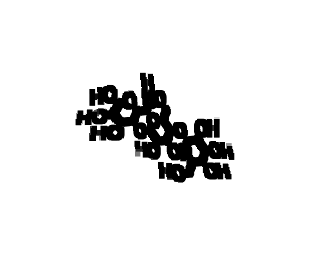 OCC1O[C@H](O[C@@H]2C(CO)O[C@H](O[C@H]3C(CO)O[C@H](O)C(O)[C@H]3O)C(O)[C@H]2O)C(O)[C@@H](O)[C@@H]1O